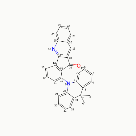 CC1(C)c2ccccc2N(c2cccc3c2C(=O)c2cc4ccccc4nc2-3)c2ccccc21